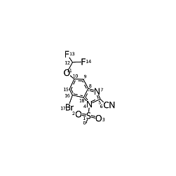 CS(=O)(=O)n1c(C#N)nc2cc(OC(F)F)cc(Br)c21